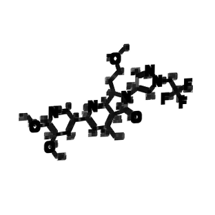 COCCC1c2nc(-c3cnc(OC)c(OC)c3)cc(C)c2C(=O)N1c1cnn(CC(F)(F)F)c1